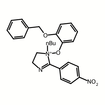 CCCC[N+]1(Oc2ccccc2OCc2ccccc2)CCN=C1c1ccc([N+](=O)[O-])cc1